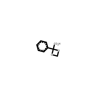 O=C(O)C1(c2ccccc2)OCO1